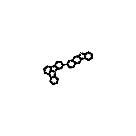 c1ccc2c(c1)sc1cc3cc(-c4ccc5c6cccc7c8ccccc8n(c5c4)c76)ccc3cc12